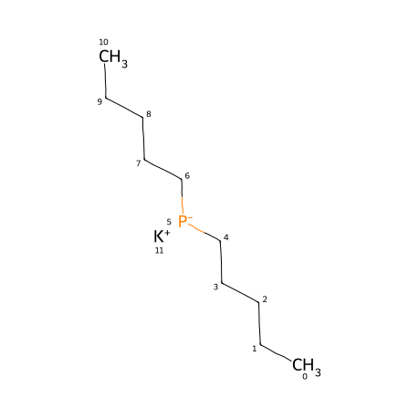 CCCCC[P-]CCCCC.[K+]